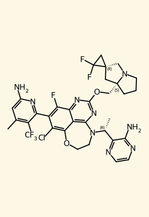 Cc1cc(N)nc(-c2c(Cl)c3c4c(nc(OC[C@@]56CCCN5C[C@]5(CC5(F)F)C6)nc4c2F)N([C@H](C)c2nccnc2N)CCO3)c1C(F)(F)F